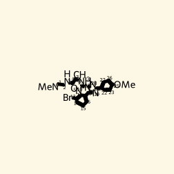 CNCCNC(=O)[C@@H](C)Nc1nc2c(Br)cccc2c2nc(-c3ccc(OC)cc3)nn12